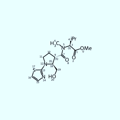 COC(=O)[C@H](C(C)C)N(C)C(=O)[C@H]1CCN(c2nccs2)[C@@H]1CO